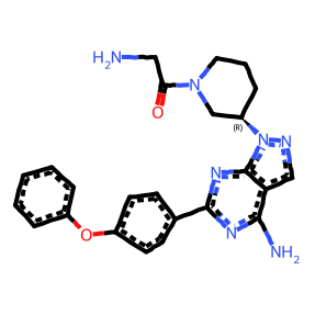 NCC(=O)N1CCC[C@@H](n2ncc3c(N)nc(-c4ccc(Oc5ccccc5)cc4)nc32)C1